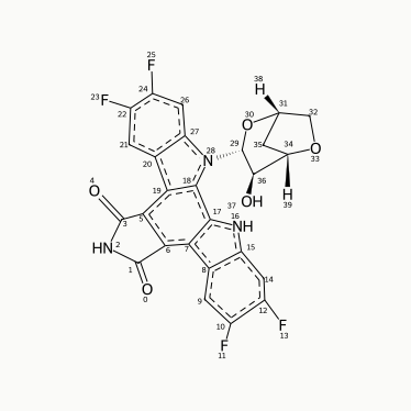 O=C1NC(=O)c2c1c1c3cc(F)c(F)cc3[nH]c1c1c2c2cc(F)c(F)cc2n1[C@@H]1O[C@@H]2CO[C@@H](C2)[C@H]1O